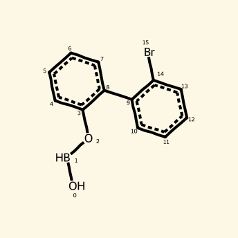 OBOc1ccccc1-c1ccccc1Br